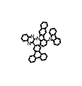 c1ccc2cc3c(cc2c1)c1c(-n2c4ccccc4c4ccccc42)cccc1n3-c1nc2ccccc2nc1-c1ccc2c3ccccc3c3ccccc3c2c1